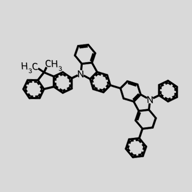 CC1(C)c2ccccc2-c2ccc(N3c4ccc(C5C=CC6=C(C5)C5=CC(c7ccccc7)CCC5N6c5ccccc5)cc4C4=CC=CCC43)cc21